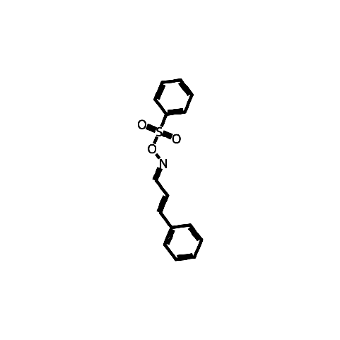 O=S(=O)(ON=C/C=C/c1ccccc1)c1ccccc1